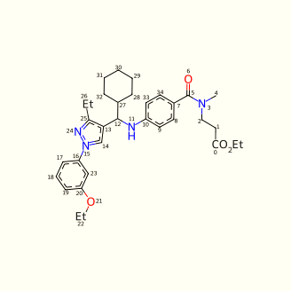 CCOC(=O)CCN(C)C(=O)c1ccc(NC(c2cn(-c3cccc(OCC)c3)nc2CC)C2CCCCC2)cc1